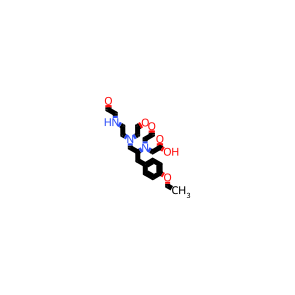 CCOc1ccc(CC(CN(CC=O)CCNCC=O)N(CC=O)CC(=O)O)cc1